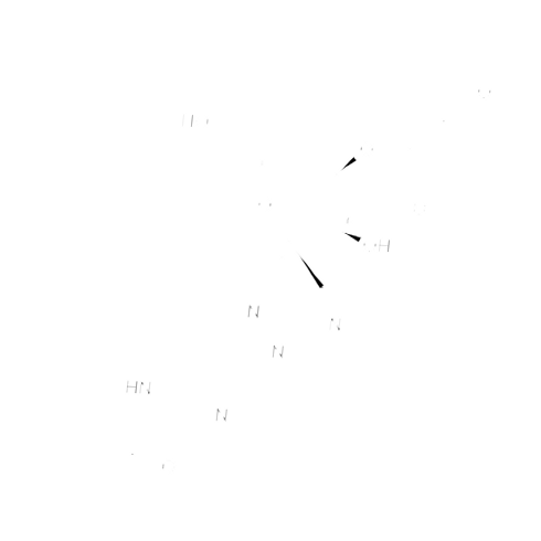 COC(C)(C)C(=O)O[C@H]1[C@@H](O)[C@](C#N)(c2ccc3c(NC(=O)c4ccccc4)ncnn23)O[C@@H]1CO